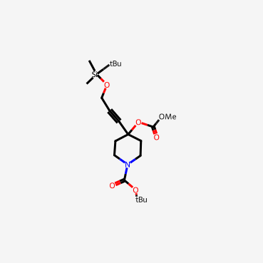 COC(=O)OC1(C#CCO[Si](C)(C)C(C)(C)C)CCN(C(=O)OC(C)(C)C)CC1